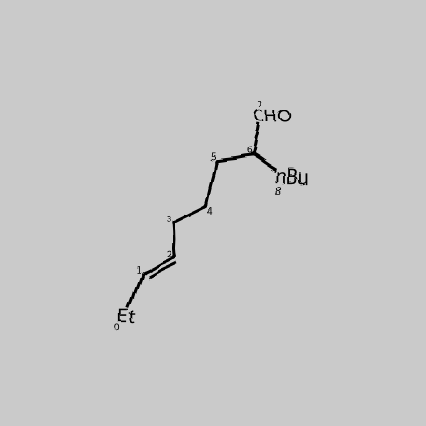 CCC=CCCCC(C=O)CCCC